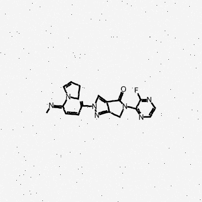 C=C(/C=C\C(=N/C)N1C=CCC1)n1cc2c(n1)CN(c1nccnc1F)C2=O